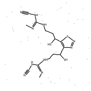 CN=C(NC#N)NCCC(S)c1nnsc1C(S)CCNC(=NC)NC#N